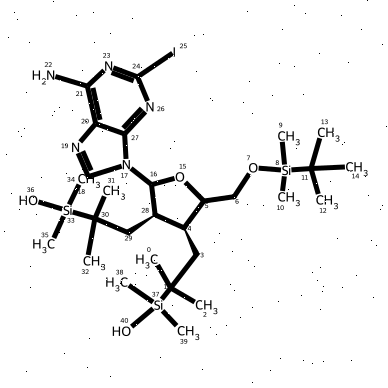 CC(C)(C[C@@H]1C(CO[Si](C)(C)C(C)(C)C)OC(n2cnc3c(N)nc(I)nc32)[C@@H]1CC(C)(C)[Si](C)(C)O)[Si](C)(C)O